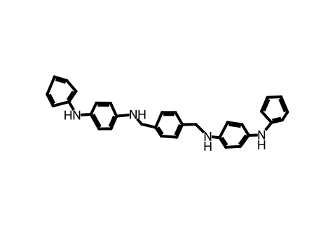 c1ccc(Nc2ccc(NCc3ccc(CNc4ccc(Nc5ccccc5)cc4)cc3)cc2)cc1